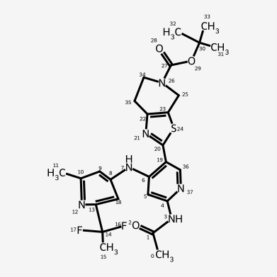 CC(=O)Nc1cc(Nc2cc(C)nc(C(C)(F)F)c2)c(-c2nc3c(s2)CN(C(=O)OC(C)(C)C)CC3)cn1